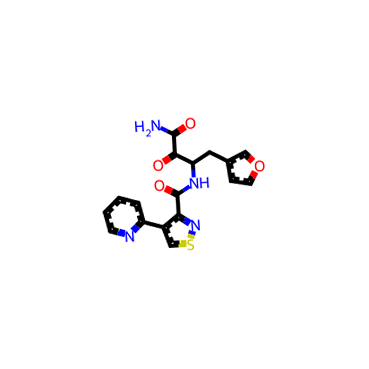 NC(=O)C(=O)C(Cc1ccoc1)NC(=O)c1nscc1-c1ccccn1